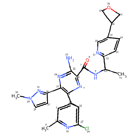 Cc1cc(-c2nc(C(=O)NC(C)c3ccc(C4COC4)cn3)c(N)nc2-c2ccn(C)n2)cc(Cl)n1